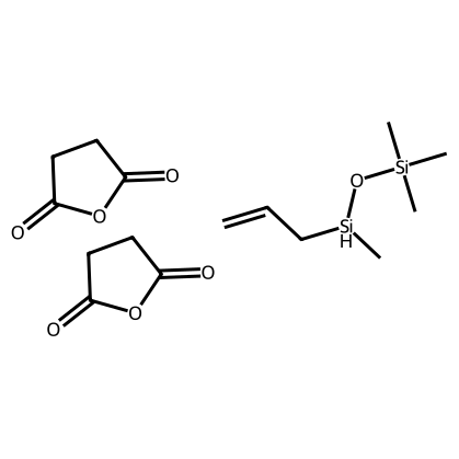 C=CC[SiH](C)O[Si](C)(C)C.O=C1CCC(=O)O1.O=C1CCC(=O)O1